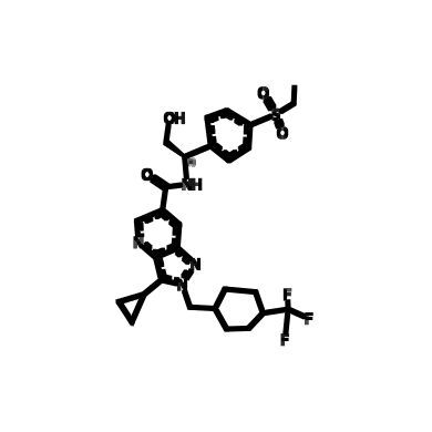 CCS(=O)(=O)c1ccc([C@H](CO)NC(=O)c2cnc3c(C4CC4)n(CC4CCC(C(F)(F)F)CC4)nc3c2)cc1